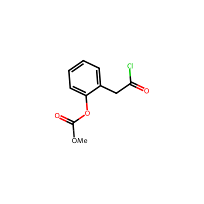 COC(=O)Oc1ccccc1CC(=O)Cl